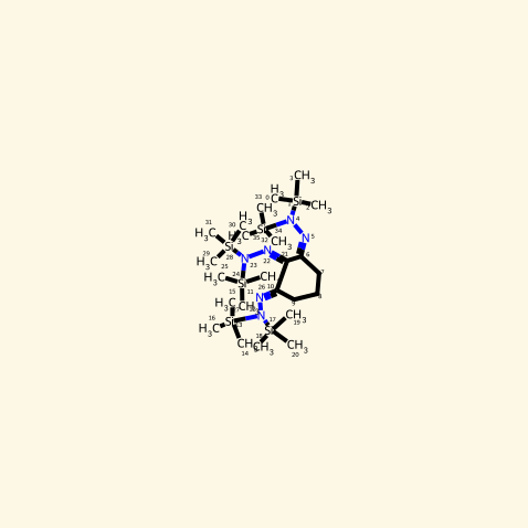 C[Si](C)(C)N(/N=C1/CCCC(=N\N([Si](C)(C)C)[Si](C)(C)C)/C1=N\N([Si](C)(C)C)[Si](C)(C)C)[Si](C)(C)C